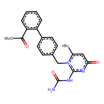 CCCCc1cc(=O)nc(NC(N)=O)n1Cc1ccc(-c2ccccc2C(=O)OC)cc1